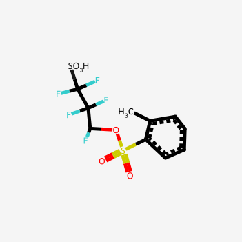 Cc1ccccc1S(=O)(=O)OC(F)C(F)(F)C(F)(F)S(=O)(=O)O